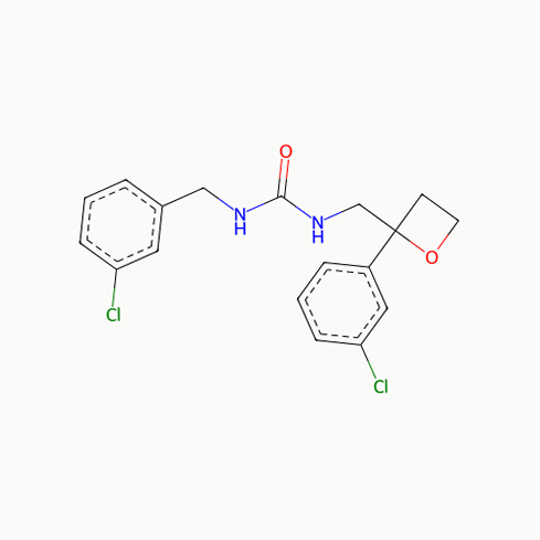 O=C(NCc1cccc(Cl)c1)NCC1(c2cccc(Cl)c2)CCO1